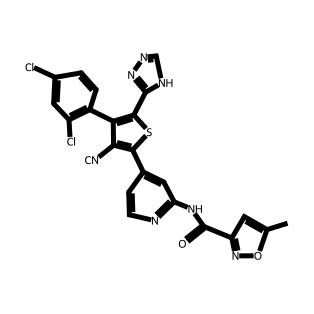 [C-]#[N+]c1c(-c2ccnc(NC(=O)c3cc(C)on3)c2)sc(-c2nnc[nH]2)c1-c1ccc(Cl)cc1Cl